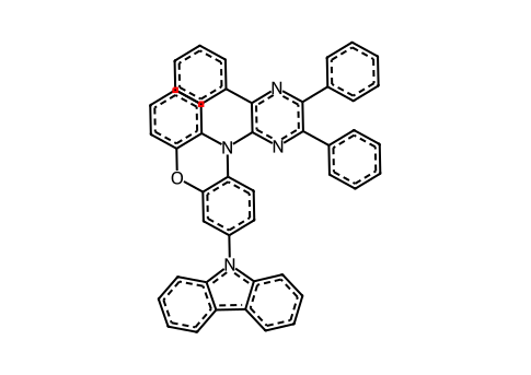 c1ccc(-c2nc(-c3ccccc3)c(N3c4ccccc4Oc4cc(-n5c6ccccc6c6ccccc65)ccc43)nc2-c2ccccc2)cc1